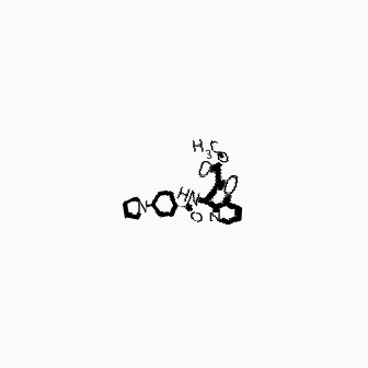 COC(=O)c1oc2cccnc2c1NC(=O)[C@H]1CC[C@H](N2CCCC2)CC1